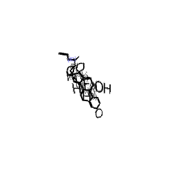 C=C/C=C(\C)[C@@H]1O[C@@H]2C[C@H]3[C@@H]4CCC5=CC(=O)C=C[C@]5(C)[C@@]4(F)[C@@H](O)C[C@]3(C)[C@]2(C(=C)C)O1